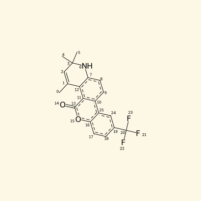 CC1=CC(C)(C)Nc2ccc3c(c21)c(=O)oc1ccc(C(F)(F)F)cc13